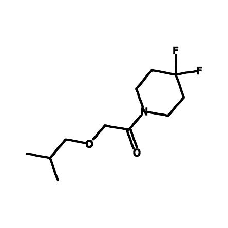 CC(C)COCC(=O)N1CCC(F)(F)CC1